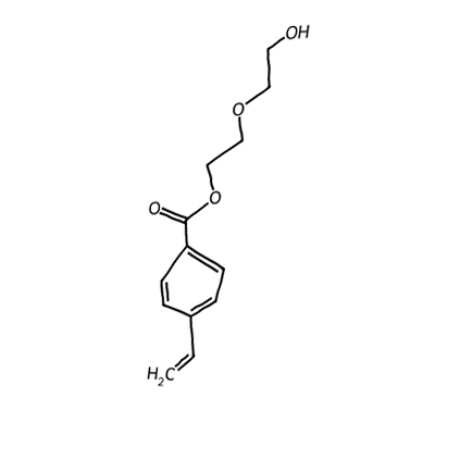 C=Cc1ccc(C(=O)OCCOCCO)cc1